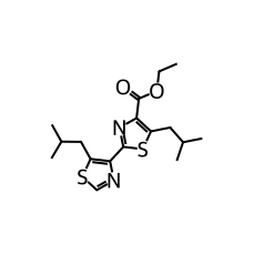 CCOC(=O)c1nc(-c2ncsc2CC(C)C)sc1CC(C)C